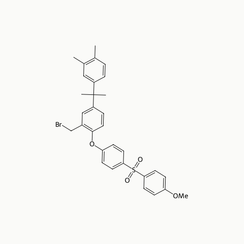 COc1ccc(S(=O)(=O)c2ccc(Oc3ccc(C(C)(C)c4ccc(C)c(C)c4)cc3CBr)cc2)cc1